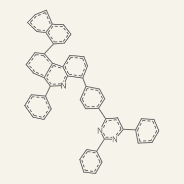 c1ccc(-c2cc(-c3ccc(-c4cccc5c4nc(-c4ccccc4)c4cccc(-c6cccc7ccccc67)c45)cc3)nc(-c3ccccc3)n2)cc1